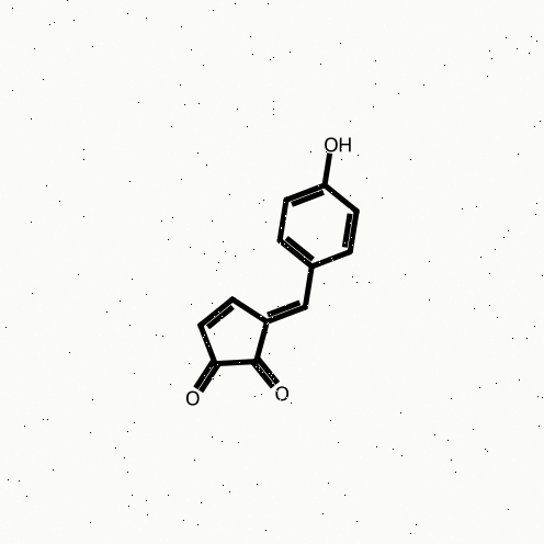 O=C1C=C/C(=C\c2ccc(O)cc2)C1=O